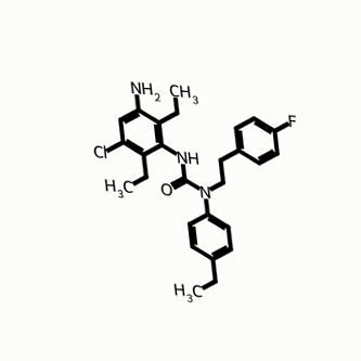 CCc1ccc(N(CCc2ccc(F)cc2)C(=O)Nc2c(CC)c(N)cc(Cl)c2CC)cc1